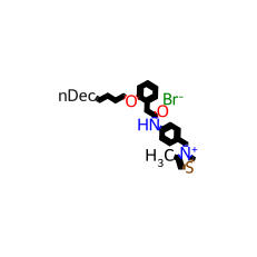 CCCCCCCCCCCCCCOc1ccccc1CC(=O)Nc1ccc(C[n+]2cscc2C)cc1.[Br-]